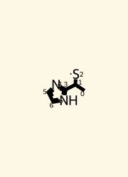 CC([S])c1ncc[nH]1